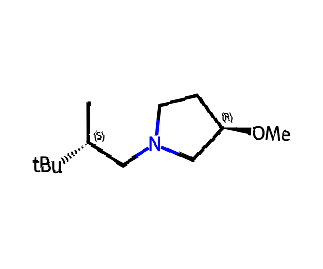 CO[C@@H]1CCN(C[C@@H](C)C(C)(C)C)C1